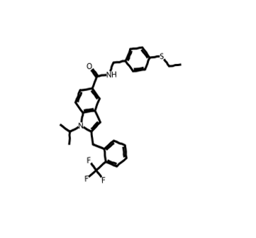 CCSc1ccc(CNC(=O)c2ccc3c(c2)cc(Cc2ccccc2C(F)(F)F)n3C(C)C)cc1